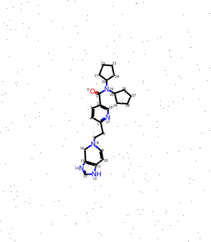 O=C(c1ccc(CCN2C=Cc3[nH]cnc3C2)nc1)N(C1CCCC1)C1CCCC1